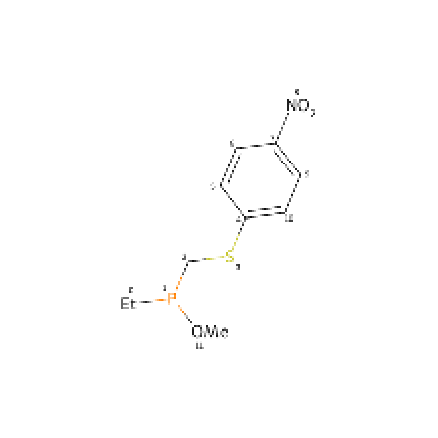 CCP(CSc1ccc([N+](=O)[O-])cc1)OC